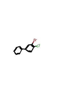 Clc1ccc(-c2ccccc2)cc1Br